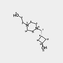 OCCN1CCN(C[C@H]2C[C@H](O)C2)CC1